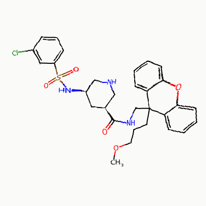 COCCCC1(CNC(=O)[C@@H]2CNC[C@H](NS(=O)(=O)c3cccc(Cl)c3)C2)c2ccccc2Oc2ccccc21